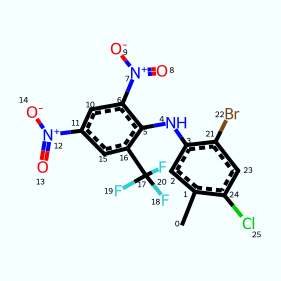 Cc1cc(Nc2c([N+](=O)[O-])cc([N+](=O)[O-])cc2C(F)(F)F)c(Br)cc1Cl